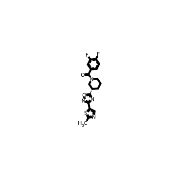 Cc1ncc(-c2noc([C@H]3CCCN(C(=O)c4ccc(F)c(F)c4)C3)n2)s1